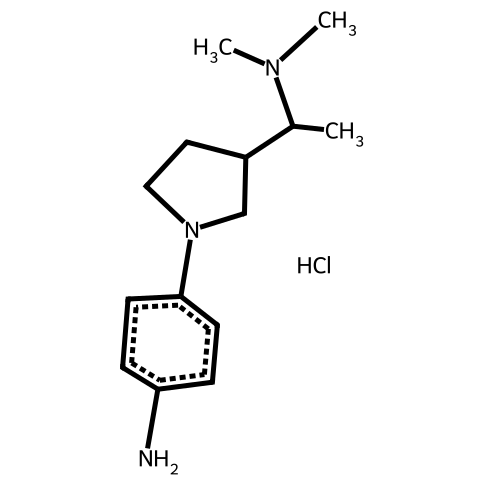 CC(C1CCN(c2ccc(N)cc2)C1)N(C)C.Cl